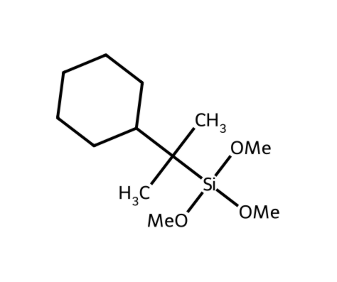 CO[Si](OC)(OC)C(C)(C)C1CCCCC1